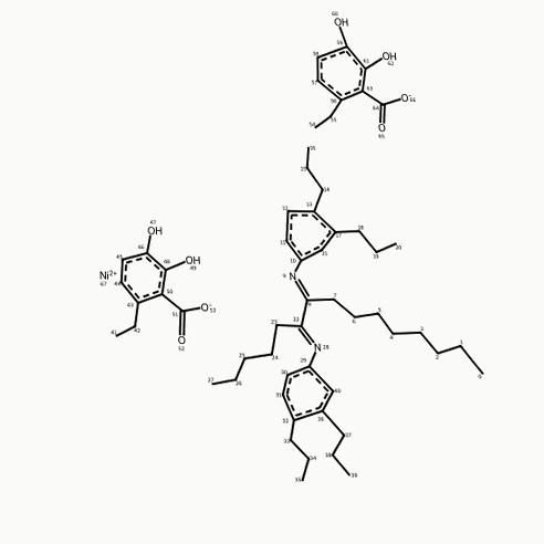 CCCCCCCCC(=Nc1ccc(CCC)c(CCC)c1)C(CCCCC)=Nc1ccc(CCC)c(CCC)c1.CCc1ccc(O)c(O)c1C(=O)[O-].CCc1ccc(O)c(O)c1C(=O)[O-].[Ni+2]